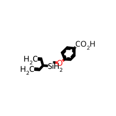 C=CC(C=C)[SiH2]COc1ccc(C(=O)O)cc1